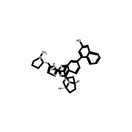 CN1CCC[C@H]1COc1nc(N2[C@@H]3CC[C@H]2CN(C(=O)c2ncc[nH]2)C3)c2ccc(-c3cc(O)cc4ccccc34)cc2n1